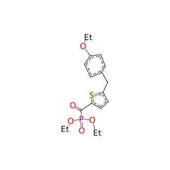 CCOc1ccc(Cc2ccc(C(=O)P(=O)(OCC)OCC)s2)cc1